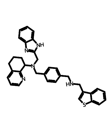 c1cnc2c(c1)CCCC2N(Cc1ccc(CNCc2csc3ccccc23)cc1)Cc1nc2ccccc2[nH]1